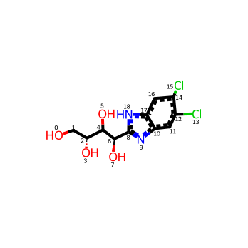 OC[C@@H](O)C(O)[C@H](O)c1nc2cc(Cl)c(Cl)cc2[nH]1